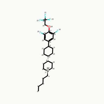 CCCCC[Si@H]1CC[C@H](C2CCC(c3cc(F)c(OCC(F)(F)F)c(F)c3)CC2)CC1